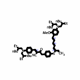 C=C\C(=C/C=C/C=C/c1ccc(N(CC(CC)CCCC)CC(CC)CCCC)cc1OC)Sc1ccc(CC(=O)/C(C#N)=C/c2ccc(N(CC(CC)CCCC)CC(CC)CCCC)cc2)cc1